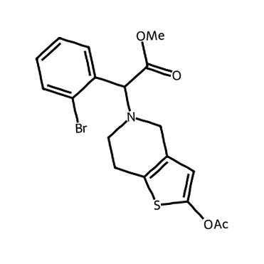 COC(=O)C(c1ccccc1Br)N1CCc2sc(OC(C)=O)cc2C1